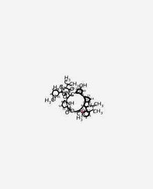 CCc1ccncc1-c1c2c3cc(ccc3n1CC)-c1cc(O)cc(c1)C[C@H](NC(=O)[C@H](C(C)C)N(C)C(=O)[C@@H]1CCCN(C)C1)C(=O)N1CCC[C@H](N1)C(=O)OCC(C)(C)C2